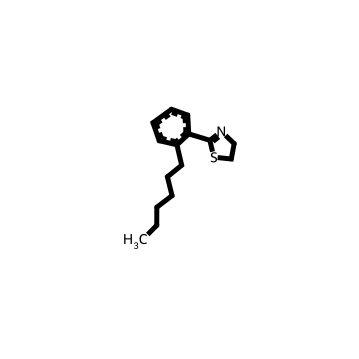 CCCCCCc1ccccc1C1=NCCS1